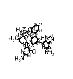 C=C(Cn1cnc2c(Cl)nc(N)nc21)[C@@H](C)O[Si](c1ccccc1)(c1ccccc1)C(C)(C)C.Nc1nc(Cl)c2[nH]cnc2n1